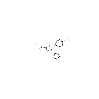 COC(=O)c1cc(-c2cc(C)cs2)n(-c2ccc(Cl)cc2)n1